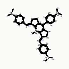 CN(C)c1ccc(/C=C2\CCc3c(-c4ccc(N(C)C)cc4)c4c([n+](C)c32)/C(=C/c2ccc(N(C)C)cc2)CC4)cc1